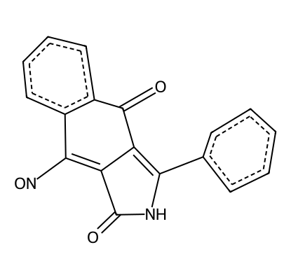 O=NC1=C2C(=O)NC(c3ccccc3)=C2C(=O)c2ccccc21